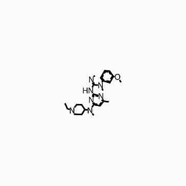 CCN1CCC(N(C)c2cc(C)nc(N/C(=N/C)N(C)c3cccc(OC)c3)n2)CC1